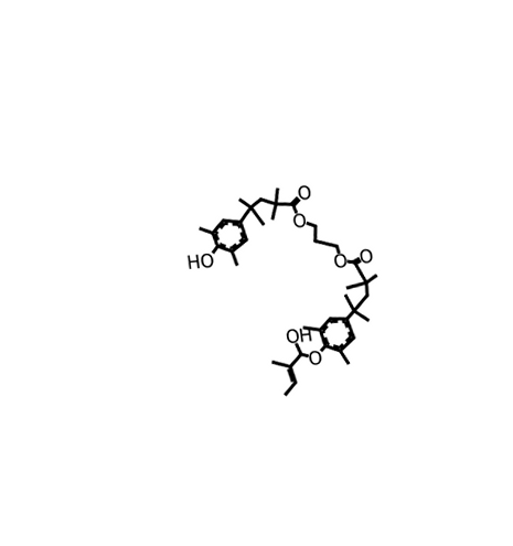 CC=C(C)C(O)Oc1c(C)cc(C(C)(C)CC(C)(C)C(=O)OCCCOC(=O)C(C)(C)CC(C)(C)c2cc(C)c(O)c(C)c2)cc1C